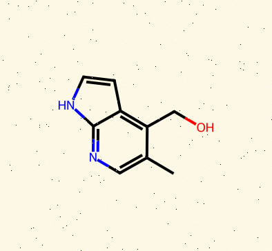 Cc1cnc2[nH]ccc2c1CO